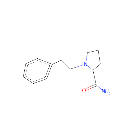 NC(=O)C1CCCN1CCc1ccccc1